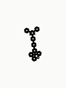 c1ccc(-c2cc(-c3ccccc3)nc(-c3ccc(-c4ccc(-c5ccc(C6(c7ccccc7)c7ccccc7Oc7ccccc76)cc5)cc4)cc3)n2)cc1